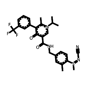 Cc1cc(CNC(=O)c2cn(C(C)C)c(C)c(-c3cccc(C(F)(F)F)c3)c2=O)ccc1/S(C)=N\C#N